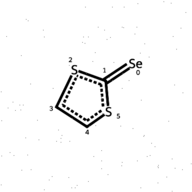 [Se]=c1sccs1